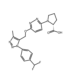 Cc1nnn(-c2ccc(C(F)F)cc2)c1COc1ccc(N2CCC[C@@H]2C(=O)O)nn1